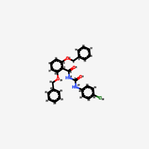 O=C(NC(=O)c1c(OCc2ccccc2)cccc1OCc1ccccc1)Nc1ccc(Cl)cc1